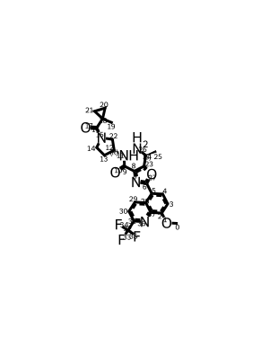 COc1ccc(-c2nc(C(=O)N[C@@H]3CCN(C(=O)C4(C)CC4)C3)c([C@H](C)N)o2)c2ccc(C(F)(F)F)nc12